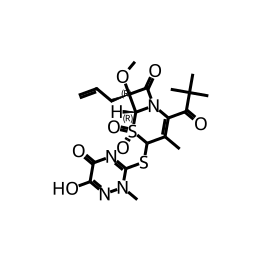 C=CC[C@@]1(OC)C(=O)N2C(C(=O)C(C)(C)C)=C(C)C(Sc3nc(=O)c(O)nn3C)S(=O)(=O)[C@@H]21